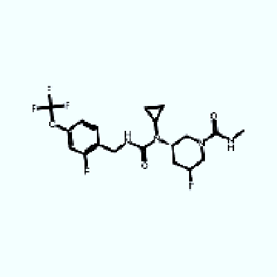 CNC(=O)N1C[C@@H](F)C[C@@H](N(C(=O)NCc2ccc(OC(F)(F)F)cc2F)C2CC2)C1